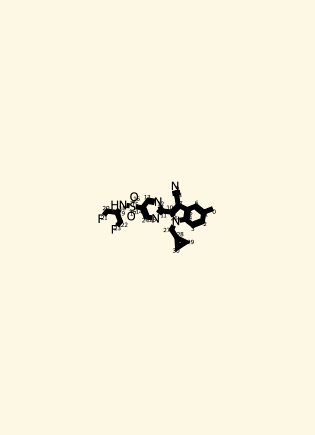 Cc1ccc2c(c1)c(C#N)c(-c1ncc(S(=O)(=O)NC(CF)CF)cn1)n2CC1CC1